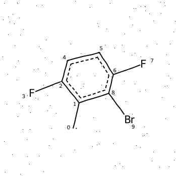 [CH2]c1c(F)ccc(F)c1Br